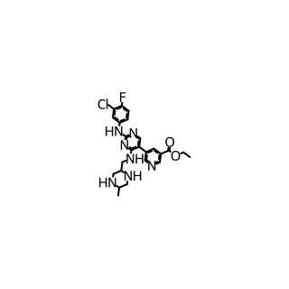 CCOC(=O)c1cncc(-c2cnc(Nc3ccc(F)c(Cl)c3)nc2NCC2CNC(C)CN2)c1